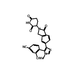 COc1cc(C#N)ccc1-c1c(-c2ccc3c(c2)CN(C2CCC(=O)NC2=O)C3=O)ncn1C